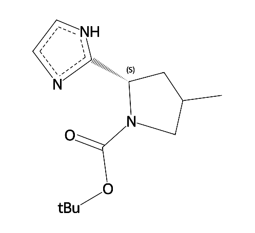 CC1C[C@@H](c2ncc[nH]2)N(C(=O)OC(C)(C)C)C1